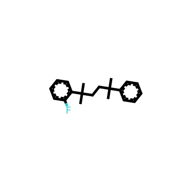 CC(C)(CCC(C)(C)c1ccccc1F)c1ccccc1